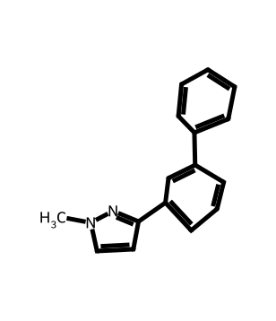 Cn1ccc(-c2cccc(-c3ccccc3)c2)n1